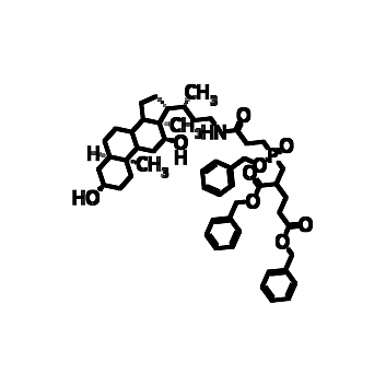 C[C@H](CCNC(=O)CCP(=O)(CC(CCC(=O)OCc1ccccc1)C(=O)OCc1ccccc1)OCc1ccccc1)[C@H]1CCC2C3CC[C@@H]4C[C@H](O)CC[C@]4(C)C3C[C@H](O)[C@@]21C